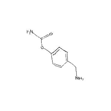 NCc1ccc(OC(N)=O)cc1